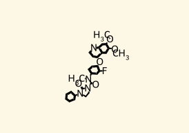 COc1cc2nccc(Oc3ccc(N(C)C(=O)N4CCN(c5ccccc5)C4=O)cc3F)c2cc1OC